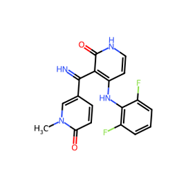 Cn1cc(C(=N)c2c(Nc3c(F)cccc3F)cc[nH]c2=O)ccc1=O